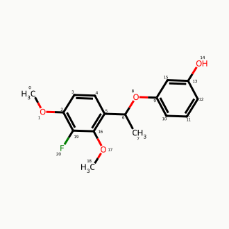 COc1ccc(C(C)Oc2c[c]cc(O)c2)c(OC)c1F